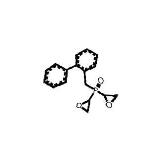 O=P(Cc1ccccc1-c1ccccc1)(C1CO1)C1CO1